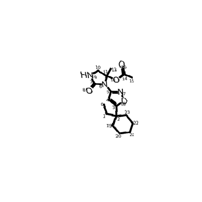 CCC1(c2cc(N3C(=O)NCC3(C)OC(C)=O)no2)CCCCC1